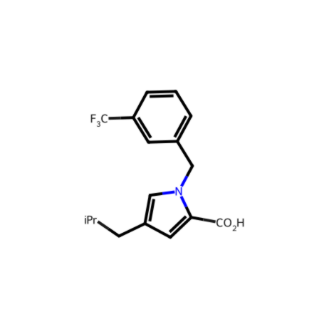 CC(C)Cc1cc(C(=O)O)n(Cc2cccc(C(F)(F)F)c2)c1